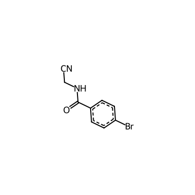 N#CCNC(=O)c1ccc(Br)cc1